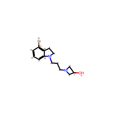 OC1CN(CCCN2CCc3c(Br)cccc32)C1